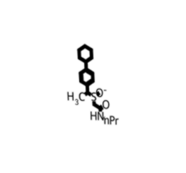 CCCNC(=O)C[S+]([O-])C(C)c1ccc(C2CCCCC2)cc1